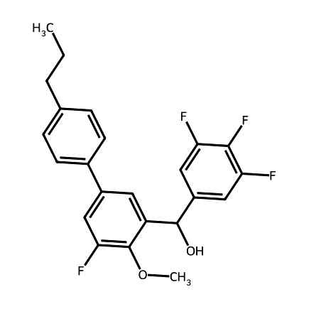 CCCc1ccc(-c2cc(F)c(OC)c(C(O)c3cc(F)c(F)c(F)c3)c2)cc1